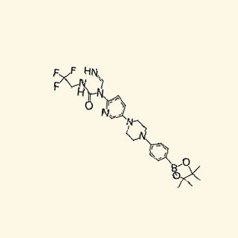 CC1(C)OB(c2ccc(N3CCN(c4ccc(N(C=N)C(=O)NCC(F)(F)F)nc4)CC3)cc2)OC1(C)C